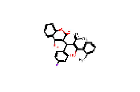 C=C(C)/C(=C(/O)c1ccccc1C)C(c1ccc(I)cc1)c1c(O)c2ccccc2oc1=O